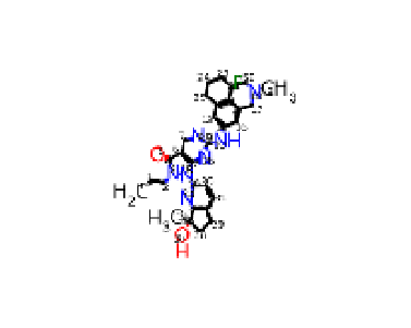 C=CCn1c(=O)c2cnc(Nc3cc4c5c(c3)CN(C)C[C@]5(F)CCC4)nc2n1-c1ccc2c(n1)[C@@](C)(O)CC2